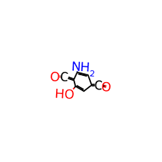 Nc1cc(=C=O)cc(O)c1=C=O